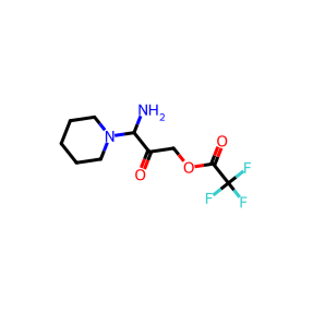 NC(C(=O)COC(=O)C(F)(F)F)N1CCCCC1